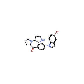 O=C(c1ccc(-n2ccc3cc(Br)ccc32)cc1)C1CCCN1C1CCNC1